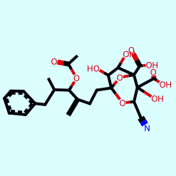 C=C(CCC12OC(C#N)C(O)(C(=O)O)C(C(=O)O)(O1)C(O)C2O)C(OC(C)=O)C(C)Cc1ccccc1